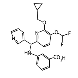 O=C(O)c1cccc(NC(c2cccnc2)c2ccc(OC(F)F)c(OCC3CC3)n2)c1